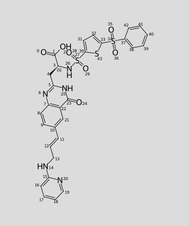 O=C(O)[C@H](Cc1nc2ccc(C=CCNc3ccccn3)cc2c(=O)[nH]1)NS(=O)(=O)c1ccc(S(=O)(=O)c2ccccc2)s1